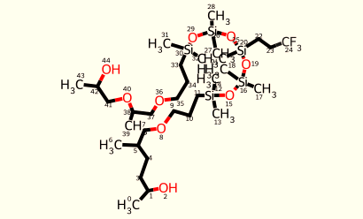 CC(O)CCC(C)COCCC[Si](C)(C)O[Si](C)(C)O[Si](C)(CCC(F)(F)F)O[Si](C)(C)O[Si](C)(C)CCCOCC(C)OCC(C)O